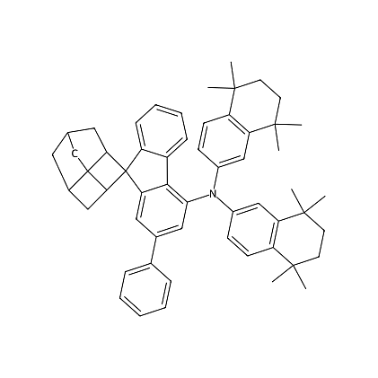 CC1(C)CCC(C)(C)c2cc(N(c3ccc4c(c3)C(C)(C)CCC4(C)C)c3cc(-c4ccccc4)cc4c3-c3ccccc3C43C4CC5CC6CC3C64C5)ccc21